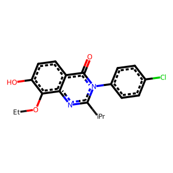 CCOc1c(O)ccc2c(=O)n(-c3ccc(Cl)cc3)c(C(C)C)nc12